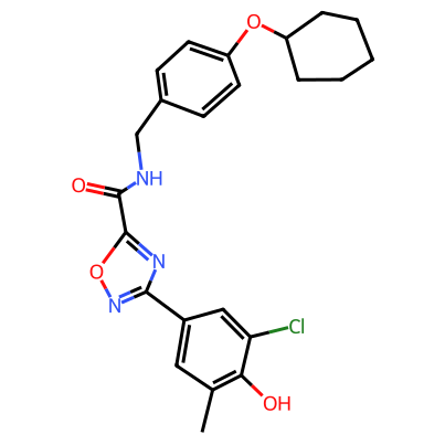 Cc1cc(-c2noc(C(=O)NCc3ccc(OC4CCCCC4)cc3)n2)cc(Cl)c1O